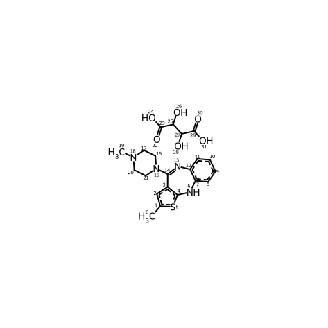 Cc1cc2c(s1)Nc1ccccc1N=C2N1CCN(C)CC1.O=C(O)C(O)C(O)C(=O)O